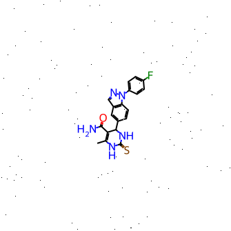 CC1=C(C(N)=O)C(c2ccc3c(cnn3-c3ccc(F)cc3)c2)NC(=S)N1